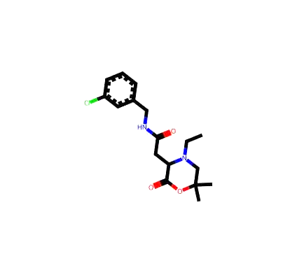 CCN1CC(C)(C)OC(=O)C1CC(=O)NCc1cccc(Cl)c1